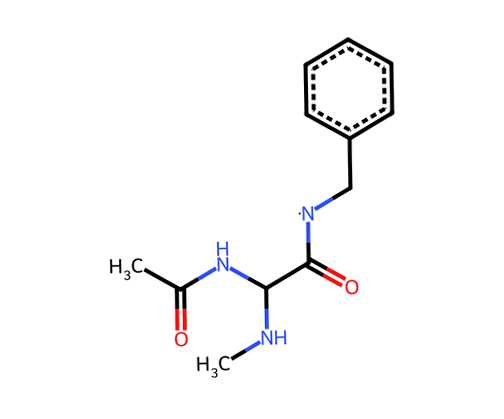 CNC(NC(C)=O)C(=O)[N]Cc1ccccc1